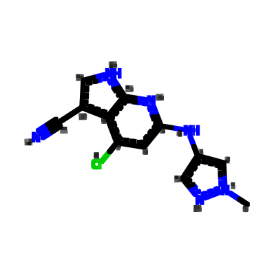 Cn1cc(Nc2cc(Cl)c3c(C#N)c[nH]c3n2)cn1